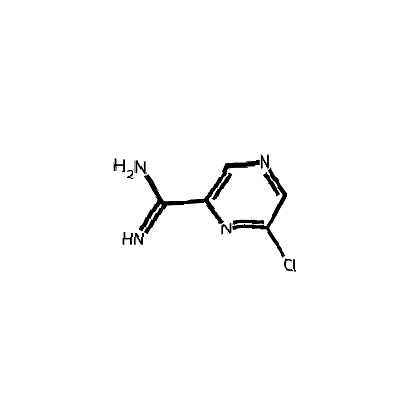 N=C(N)c1cncc(Cl)n1